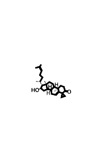 CC(C)=CCC[C@@H](C)[C@H]1[C@@H](O)C[C@H]2[C@@H]3CC=C4C5(CC5)C(=O)CC[C@]4(C)[C@H]3CC[C@]12C